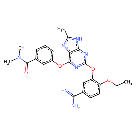 CCOc1ccc(C(=N)N)cc1Oc1nc(Oc2cccc(C(=O)N(C)C)c2)c2nc(C)[nH]c2n1